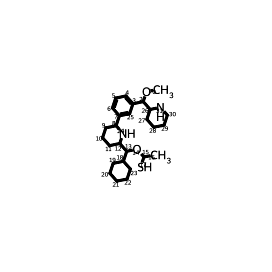 COC(c1cccc(C2CCCC(C(OC(C)S)C3CCCCC3)N2)c1)C1CCCCN1